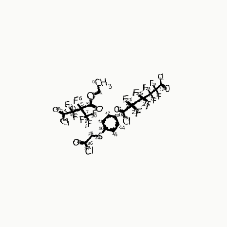 CCOC(=O)C(F)(C(F)(F)F)C(F)(F)C(=O)Cl.O=C(Cl)C(F)(F)C(F)(F)C(F)(F)C(F)(F)C(=O)Cl.O=C(Cl)CSc1ccccc1